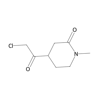 CN1CCC(C(=O)CCl)CC1=O